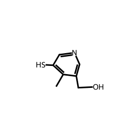 Cc1c(S)cncc1CO